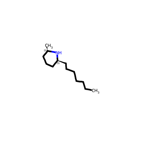 CCCCCCC[C@H]1CCC[C@H](C)N1